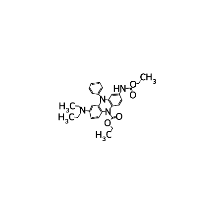 CCOC(=O)Nc1ccc2c(c1)N(c1ccccc1)c1cc(N(CC)CC)ccc1N2C(=O)OCC